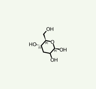 OC[C@H]1O[C@@H](O)C(O)C[C@@H]1O